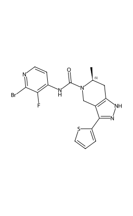 C[C@H]1Cc2[nH]nc(-c3cccs3)c2CN1C(=O)Nc1ccnc(Br)c1F